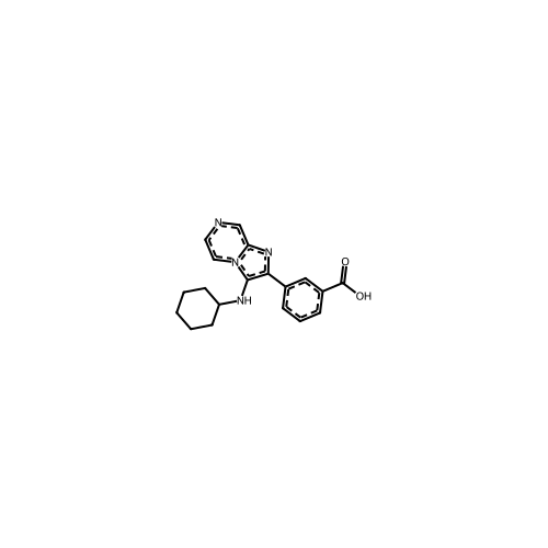 O=C(O)c1cccc(-c2nc3cnccn3c2NC2CCCCC2)c1